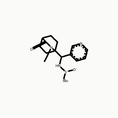 CN1C(=O)C2CCC1(C(N[S+]([O-])C(C)(C)C)c1cccnc1)CC2